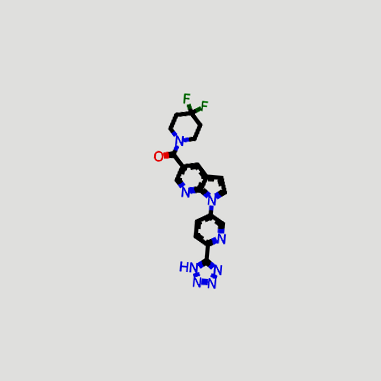 O=C(c1cnc2c(ccn2-c2ccc(-c3nnn[nH]3)nc2)c1)N1CCC(F)(F)CC1